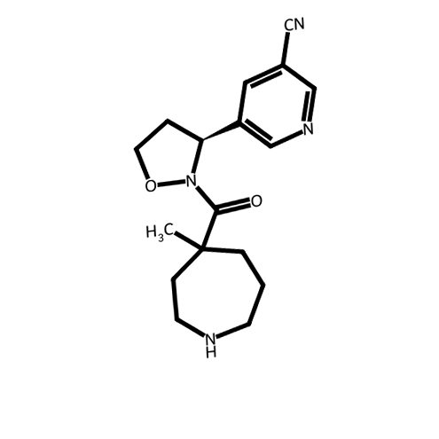 CC1(C(=O)N2OCC[C@H]2c2cncc(C#N)c2)CCCNCC1